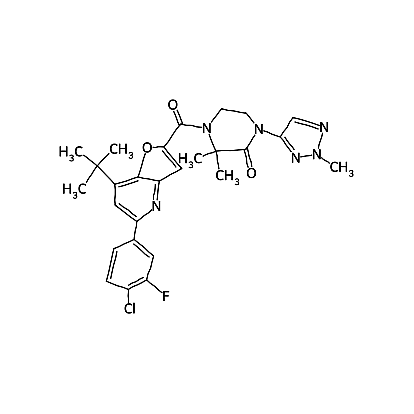 Cn1ncc(N2CCN(C(=O)c3cc4nc(-c5ccc(Cl)c(F)c5)cc(C(C)(C)C)c4o3)C(C)(C)C2=O)n1